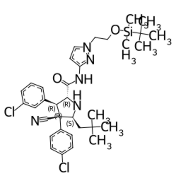 CC(C)(C)C[C@@H]1N[C@@H](C(=O)Nc2ccn(CCO[Si](C)(C)C(C)(C)C)n2)[C@H](c2cccc(Cl)c2)[C@@]1(C#N)c1ccc(Cl)cc1